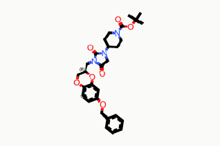 CC(C)(C)OC(=O)N1CCC(N2CC(=O)N(C[C@@H]3COc4ccc(OCc5ccccc5)cc4O3)C2=O)CC1